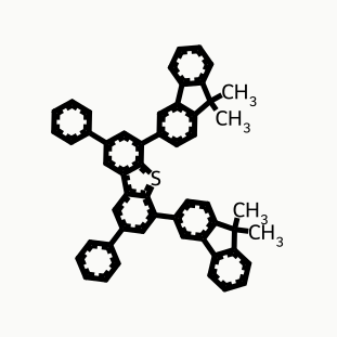 CC1(C)c2ccccc2-c2cc(-c3cc(-c4ccccc4)cc4c3sc3c(-c5ccc6c(c5)-c5ccccc5C6(C)C)cc(-c5ccccc5)cc34)ccc21